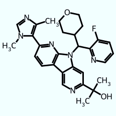 Cc1ncn(C)c1-c1ccc2c3cnc(C(C)(C)O)cc3n(C(c3ncccc3F)C3CCOCC3)c2n1